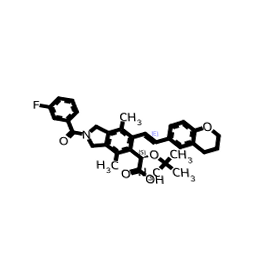 Cc1c(/C=C/c2ccc3c(c2)CCCO3)c([C@H](OC(C)(C)C)C(=O)O)c(C)c2c1CN(C(=O)c1cccc(F)c1)C2